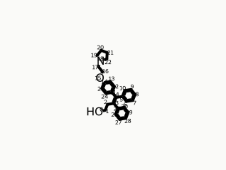 OCC/C(=C(/c1ccccc1)c1ccc(OCCN2CCCC2)cc1)c1ccccc1